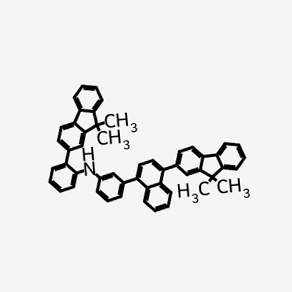 CC1(C)c2ccccc2-c2ccc(-c3ccccc3Nc3cccc(-c4ccc(-c5ccc6c(c5)C(C)(C)c5ccccc5-6)c5ccccc45)c3)cc21